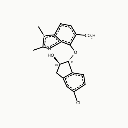 Cc1nc2c(O[C@@H]3c4ccc(Cl)cc4C[C@H]3O)c(C(=O)O)ccc2n1C